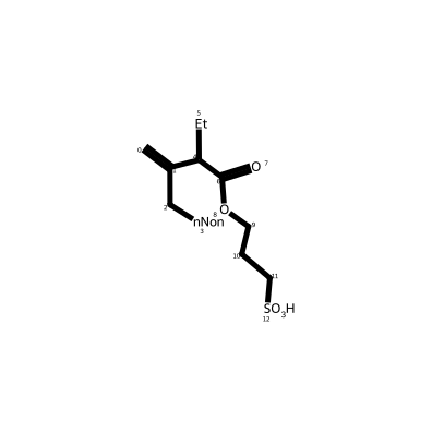 C=C(CCCCCCCCCC)C(CC)C(=O)OCCCS(=O)(=O)O